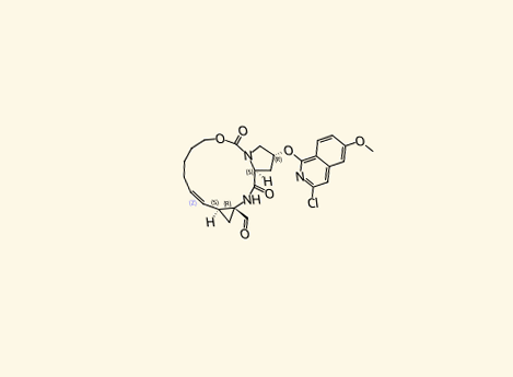 COc1ccc2c(O[C@@H]3C[C@H]4C(=O)N[C@]5(C=O)C[C@H]5/C=C\CCCCOC(=O)N4C3)nc(Cl)cc2c1